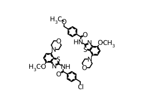 COCc1ccc(C(=O)Nc2nc3c(OC)ccc(N4CCOCC4)c3s2)cc1.COc1ccc(N2CCOCC2)c2sc(NC(=O)c3ccc(CCl)cc3)nc12